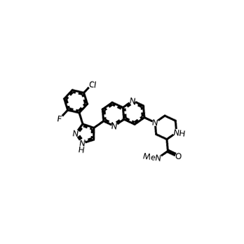 CNC(=O)C1CN(c2cnc3ccc(-c4c[nH]nc4-c4cc(Cl)ccc4F)nc3c2)CCN1